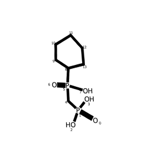 O=P(O)(O)CP(=O)(O)C1CCCCC1